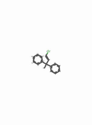 CC(/C=C/Br)(c1ccccc1)c1ccccc1